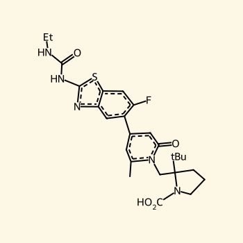 CCNC(=O)Nc1nc2cc(-c3cc(C)n(CC4(C(C)(C)C)CCCN4C(=O)O)c(=O)c3)c(F)cc2s1